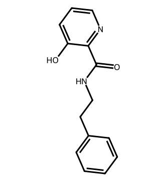 O=C(NCCc1ccccc1)c1ncccc1O